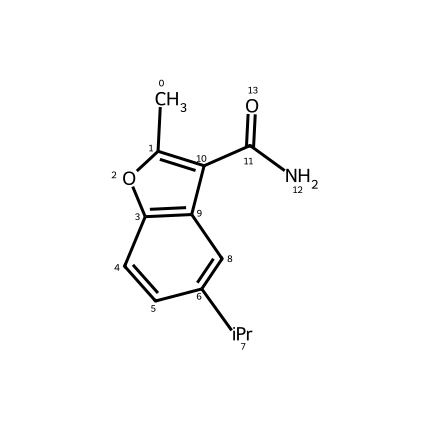 Cc1oc2ccc(C(C)C)cc2c1C(N)=O